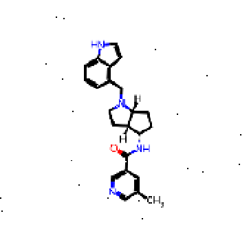 Cc1cncc(C(=O)N[C@H]2CC[C@@H]3[C@H]2CCN3Cc2cccc3[nH]ccc23)c1